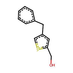 OCc1cc(Cc2ccccc2)cs1